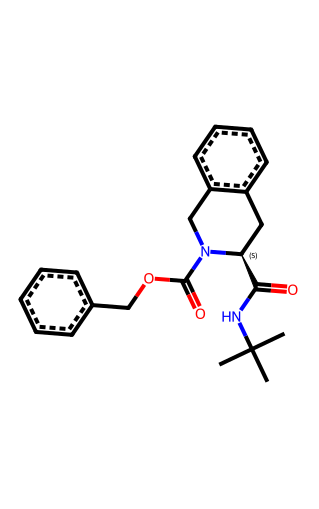 CC(C)(C)NC(=O)[C@@H]1Cc2ccccc2CN1C(=O)OCc1ccccc1